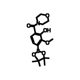 COc1c(B2OC(C)(C)C(C)(C)O2)ccc(C(=O)N2CCOCC2)c1O